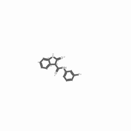 O=C(Nc1cccc(F)c1)C1C(=O)Sc2ccccc21